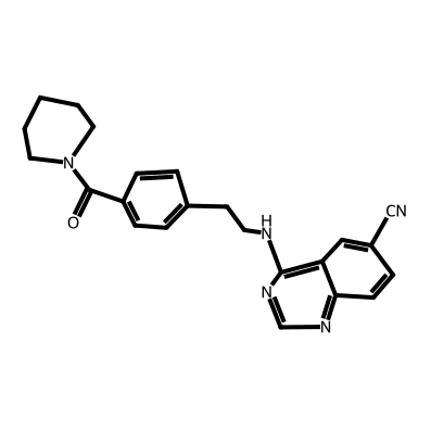 N#Cc1ccc2ncnc(NCCc3ccc(C(=O)N4CCCCC4)cc3)c2c1